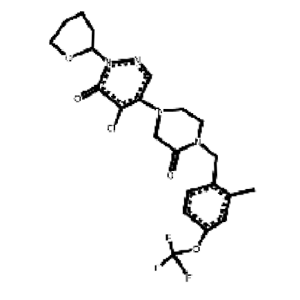 Cc1cc(OC(F)(F)F)ccc1CN1CCN(c2cnn(C3CCCCO3)c(=O)c2Cl)CC1=O